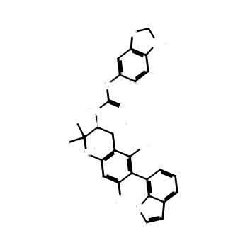 C[C@@H]1c2c(cc(F)c(-c3cccc4cc[nH]c34)c2F)NC(C)(C)[C@H]1OC(=O)Nc1ccc2c(c1)OCO2